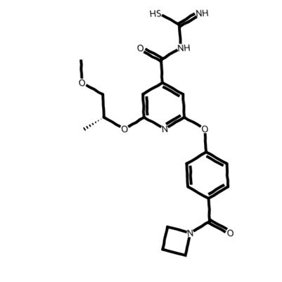 COC[C@@H](C)Oc1cc(C(=O)NC(=N)S)cc(Oc2ccc(C(=O)N3CCC3)cc2)n1